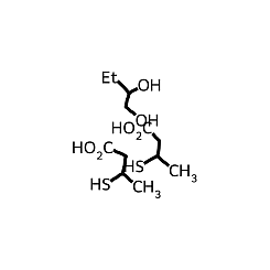 CC(S)CC(=O)O.CC(S)CC(=O)O.CCC(O)CO